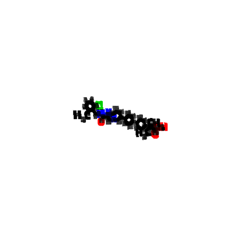 Cc1cccc(Cl)c1CNC(=O)c1cn2cc(-c3ccc([C@H]4CC[C@H](C(C)(C)C(=O)O)CC4)cc3)ccc2n1